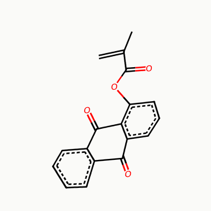 C=C(C)C(=O)Oc1cccc2c1C(=O)c1ccccc1C2=O